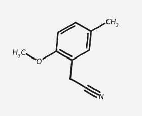 COc1ccc(C)cc1CC#N